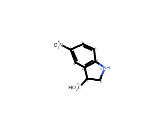 O=C(O)C1CNc2ccc([N+](=O)[O-])cc21